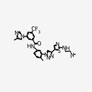 Cc1cn(-c2cc(C(=O)Nc3ccc(C)c(-n4cc(-c5cnc(NCCN(C)C)s5)nn4)c3)cc(C(F)(F)F)c2)cn1